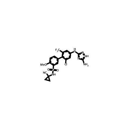 COc1ccc(-c2c(Cl)cc(Nc3n[nH]c(N)n3)cc2C(F)(F)F)cc1S(=O)(=O)NC1(C#N)CC1